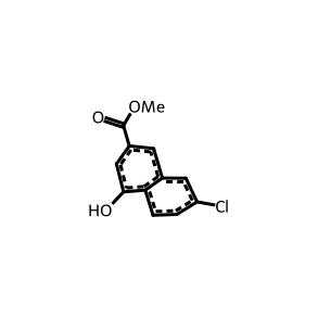 COC(=O)c1cc(O)c2ccc(Cl)cc2c1